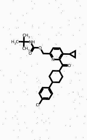 CC(C)(C)NC(=O)OCc1ccc(C2CC2)c(C(=O)C2CCC(c3ccc(Cl)cc3)CC2)n1